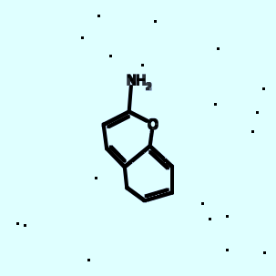 NC1=CC=C2CC=CC=C2O1